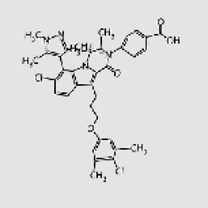 Cc1cc(OCCCc2c3n(c4c(-c5c(C)nn(C)c5C)c(Cl)ccc24)[C@H](C)[C@@H](C)N(c2ccc(C(=O)O)cc2)C3=O)cc(C)c1Cl